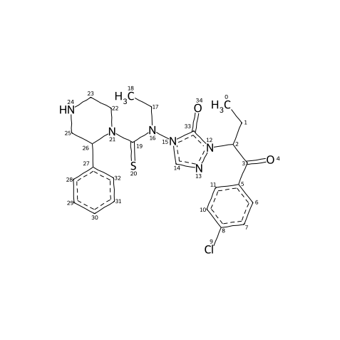 CCC(C(=O)c1ccc(Cl)cc1)n1ncn(N(CC)C(=S)N2CCNCC2c2ccccc2)c1=O